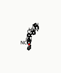 Cc1c(-c2nc3cc(CN4CCCC4)cc(C#N)c3o2)cccc1-c1cccc(Nc2nccc3nccnc23)c1Cl